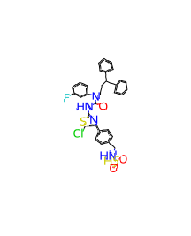 O=C(Nc1nc(-c2ccc(CN[SH](=O)=O)cc2)c(Cl)s1)N(CCC(c1ccccc1)c1ccccc1)c1cccc(F)c1